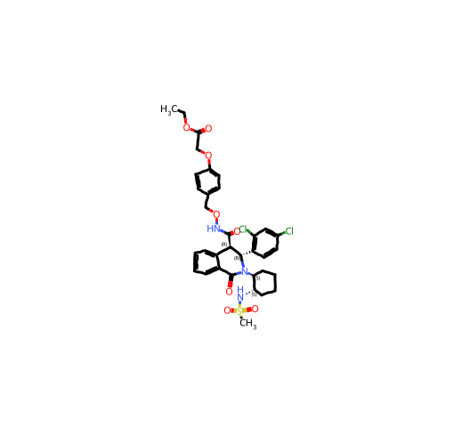 CCOC(=O)COc1ccc(CONC(=O)[C@@H]2c3ccccc3C(=O)N([C@H]3CCCC[C@@H]3NS(C)(=O)=O)[C@H]2c2ccc(Cl)cc2Cl)cc1